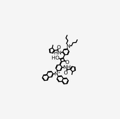 CCCCN(CCCC)c1ccc(C2=C(O)/C(=C3\C=CC(=[N+](c4ccc5ccccc5c4)c4ccc5ccccc5c4)C=C3NC(=O)C3=CC=CC3C)C2=O)c(NC(=O)C2=CC=CC2C)c1